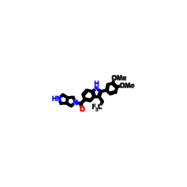 COc1ccc(-c2[nH]c3ccc(C(=O)N4CC5CNCC5C4)cc3c2CC(F)(F)F)cc1OC